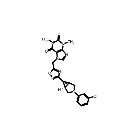 Cn1c(=O)c2c(ncn2Cc2nc(C3=C4CN(c5cccc(Cl)c5)C[C@H]43)no2)n(C)c1=O